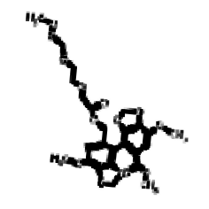 COSCOCCOCC(=O)OCc1cc(OC)c2c(c1-c1c(C(=O)OC)cc(OC)c3c1OCO3)OCO2